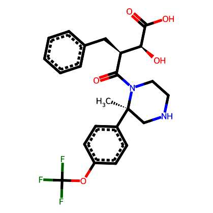 C[C@@]1(c2ccc(OC(F)(F)F)cc2)CNCCN1C(=O)[C@@H](Cc1ccccc1)[C@H](O)C(=O)O